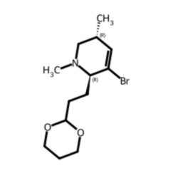 C[C@@H]1C=C(Br)[C@@H](CCC2OCCCO2)N(C)C1